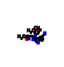 Cc1cc(Cc2nc3cnc4ccc(C#N)cc4c3n2C2CCOC(C)(C)C2)no1